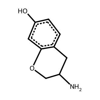 NC1COc2cc(O)ccc2C1